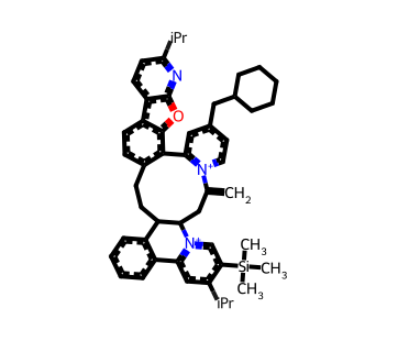 C=C1CC2C(CCc3ccc4c(oc5nc(C(C)C)ccc54)c3-c3cc(CC4CCCCC4)cc[n+]31)c1ccccc1-c1cc(C(C)C)c([Si](C)(C)C)c[n+]12